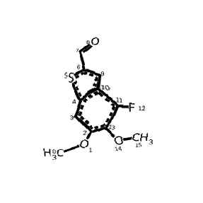 COc1cc2sc(C=O)cc2c(F)c1OC